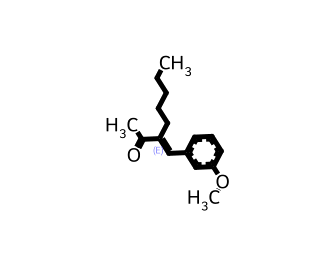 CCCCC/C(=C\c1cccc(OC)c1)C(C)=O